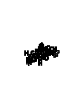 CC(C)c1nc2c(c(C3=CCOCC3)c1C(O)c1ccc(S(F)(F)(F)(F)F)cc1)C(O[Si](C)(C)C(C)(C)C)CC1(CCC1)C2